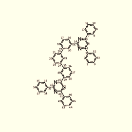 c1ccc(-c2cc(-c3ccccc3)nc(-c3cccc(-c4cccc(-c5cccc(-c6nc(-c7ccccc7)nc(-c7ccccc7)n6)c5)c4)c3)n2)cc1